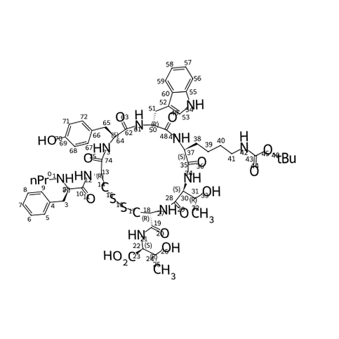 CCCN[C@H](Cc1ccccc1)C(=O)N[C@H]1CSSC[C@@H](C(=O)N[C@H](C(=O)O)[C@@H](C)O)NC(=O)[C@H]([C@@H](C)O)NC(=O)[C@H](CCCCNC(=O)OC(C)(C)C)NC(=O)[C@@H](Cc2c[nH]c3ccccc23)NC(=O)[C@H](Cc2ccc(O)cc2)NC1=O